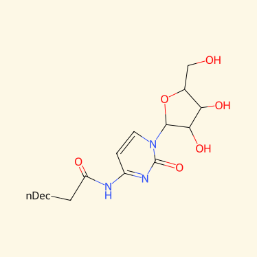 CCCCCCCCCCCC(=O)Nc1ccn(C2OC(CO)C(O)C2O)c(=O)n1